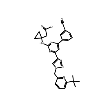 CC(C)(C)c1cccc(Cn2cc(-c3cc(-c4cccc(C#N)c4)nc(NC4(CC(=O)O)CC4)n3)nn2)n1